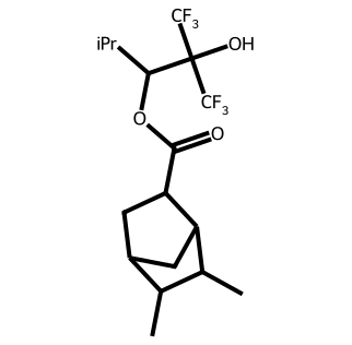 CC(C)C(OC(=O)C1CC2CC1C(C)C2C)C(O)(C(F)(F)F)C(F)(F)F